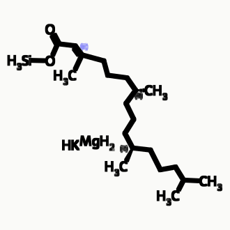 C/C(=C\C(=O)O[SiH3])CCC[C@H](C)CCC[C@H](C)CCCC(C)C.[KH].[MgH2]